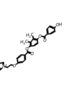 Cc1c(OC(=O)c2ccc(O)cc2)ccc(OC(=O)c2ccc(OCC[n+]3cc[nH]c3)cc2)c1C